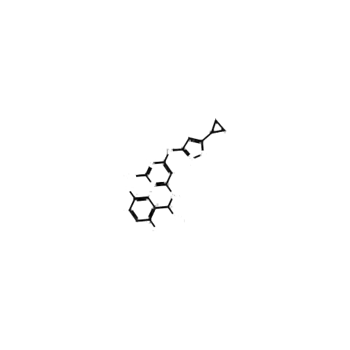 Cc1nc(Nc2cc(C3CC3)[nH]n2)cc(NC(C)c2cc(F)ccc2F)n1